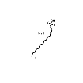 CCCCCCCCCCC=C=CCS(=O)(=O)O.[NaH]